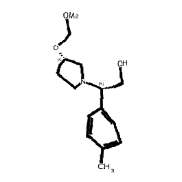 COCO[C@H]1CCN([C@@H](CO)c2ccc(C)cc2)C1